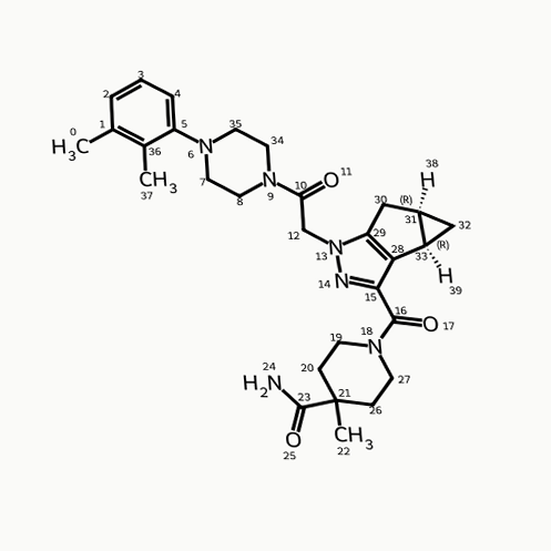 Cc1cccc(N2CCN(C(=O)Cn3nc(C(=O)N4CCC(C)(C(N)=O)CC4)c4c3C[C@H]3C[C@@H]43)CC2)c1C